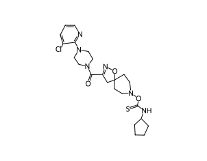 O=C(C1=NOC2(CCN(OC(=S)NC3CCCC3)CC2)C1)N1CCN(c2ncccc2Cl)CC1